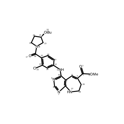 COC(=O)C1=Cc2c(ncnc2Nc2ccc(C(=O)N3CC[C@@H](OCC(C)C)C3)c(Cl)c2)NCC1